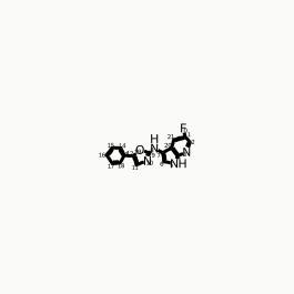 Fc1cnc2[nH]cc(Nc3ncc(-c4ccccc4)o3)c2c1